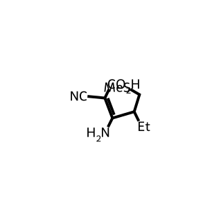 CCC(CSC)C(N)=C(C#N)C(=O)O